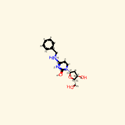 O=c1nc(NCc2ccccc2)ccn1[C@@H]1C[C@@H](O)[C@H](CO)O1